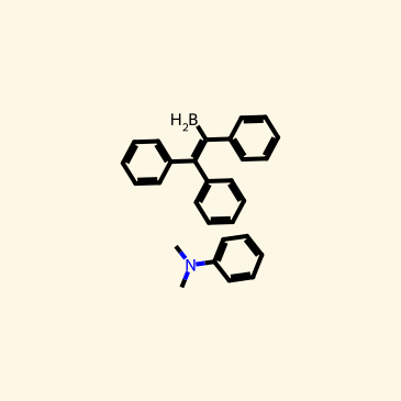 BC(=C(c1ccccc1)c1ccccc1)c1ccccc1.CN(C)c1ccccc1